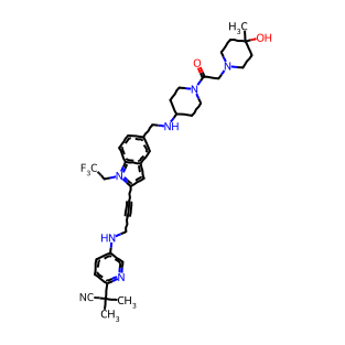 CC1(O)CCN(CC(=O)N2CCC(NCc3ccc4c(c3)cc(C#CCNc3ccc(C(C)(C)C#N)nc3)n4CC(F)(F)F)CC2)CC1